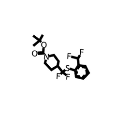 CC(C)(C)OC(=O)N1CCC(C(F)(F)Sc2ccccc2C(F)F)CC1